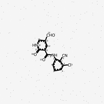 N#Cc1c(Cl)cccc1NC(=O)c1cc(C=O)c[nH]c1=O